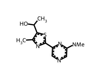 CNc1cncc(-c2nc(C)c(C(C)O)s2)n1